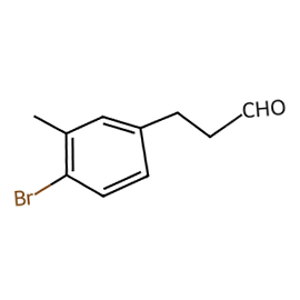 Cc1cc(CCC=O)ccc1Br